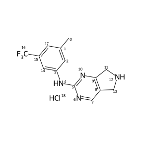 Cc1cc(Nc2ncc3c(n2)CNC3)cc(C(F)(F)F)c1.Cl